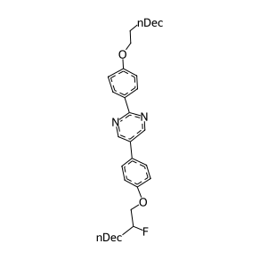 CCCCCCCCCCCCOc1ccc(-c2ncc(-c3ccc(OCC(F)CCCCCCCCCC)cc3)cn2)cc1